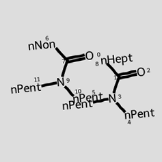 CCCCCCCC(=O)N(CCCCC)CCCCC.CCCCCCCCCC(=O)N(CCCCC)CCCCC